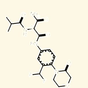 CC(C)C(=O)N[C@@H](C(N)=O)C(=O)Nc1ccc(N2CCOCC2=O)c(C(F)F)c1